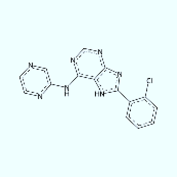 Clc1ccccc1-c1nc2ncnc(Nc3cnccn3)c2[nH]1